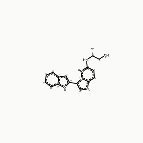 C[C@H](CO)Nc1ccc2ncc(-c3cc4ccccc4o3)n2n1